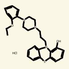 CCOc1ccccc1N1CCN(CCCN2c3ccccc3Sc3cccc(O)c32)CC1.Cl